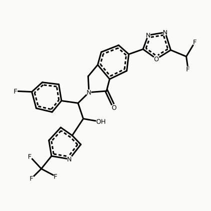 O=C1c2cc(-c3nnc(C(F)F)o3)ccc2CN1C(c1ccc(F)cc1)C(O)c1ccc(C(F)(F)F)nc1